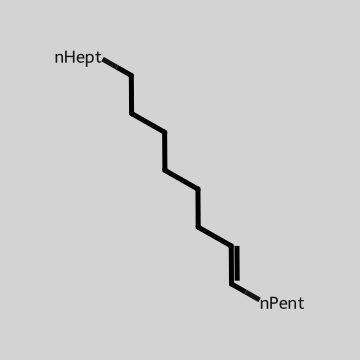 CCCCC/C=C/CCCCCCCCCCCCC